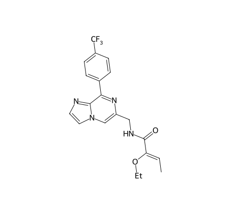 CC=C(OCC)C(=O)NCc1cn2ccnc2c(-c2ccc(C(F)(F)F)cc2)n1